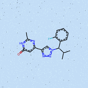 Cc1nc(-c2cn(C(c3ccccc3F)C(C)C)nn2)cc(=O)[nH]1